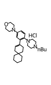 CCCCN1CCN(c2ccc(N3CCOCC3)cc2C2=CCC3(CCCCC3)CC2)CC1.Cl